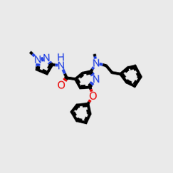 CN(CCc1ccccc1)c1cc(C(=O)Nc2ccn(C)n2)cc(Oc2ccccc2)n1